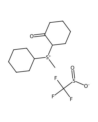 C[S+](C1CCCCC1)C1CCCCC1=O.O=S([O-])C(F)(F)F